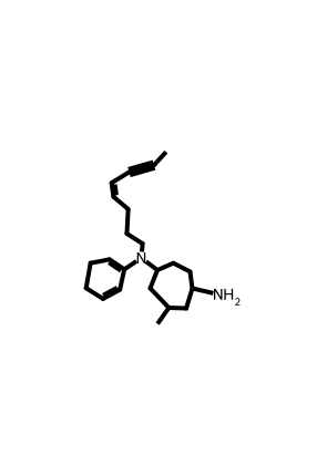 CC#C/C=C\CCCN(C1=CCCC=C1)C1CCC(N)CC(C)C1